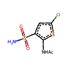 CC(=O)Nc1sc(Cl)cc1S(N)(=O)=O